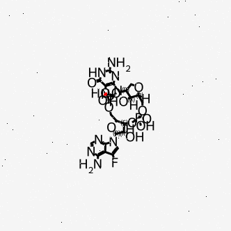 Nc1nc2c(ncn2[C@]23CO[C@H](COP(=O)(O)O[C@@H]4C(COP(=O)(O)O2)O[C@@H](n2cc(F)c5c(N)ncnc52)[C@@H]4O)[C@H]3O)c(=O)[nH]1